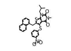 CC(C)Cn1c(=O)n(C)c(=O)c2c(Sc3cccc([N+](=O)[O-])c3)c(Cc3cccc4ccccc34)sc21